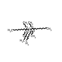 CCCCCCCCCCC(OCCCC)=C(OCCCC)C(OCCCCCCCC)OC(OCCCCCCCC)C(OCCCC)=C(CCCCCCCCCC)OCCCC